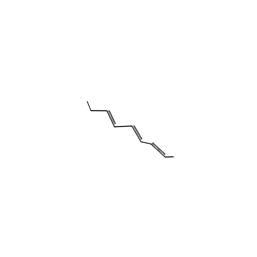 [CH2]/C=C/C=C/C=C/CCCCCC